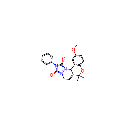 COc1ccc2c(c1)C1C(=CCn3c(=O)n(-c4ccccc4)c(=O)n31)C(C)(C)O2